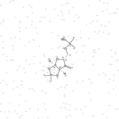 C=C1[C@H]2OC(C)(C)O[C@H]2O[C@@H]1CO[Si](C)(C)C(C)(C)C